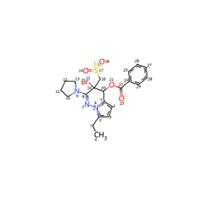 CCc1ccc2n1N=C(N1CCCC1)C(Br)(C[SH](=O)=O)C2OC(=O)c1ccccc1